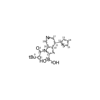 CC(C)(C)OC(=O)n1c(B(O)O)cc2c(-c3cccs3)cncc21